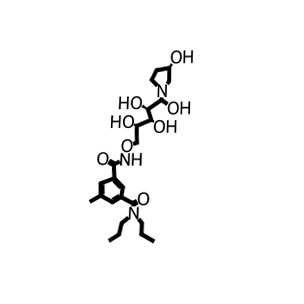 CCCN(CCC)C(=O)c1cc(C)cc(C(=O)NOC[C@H](O)[C@@H](O)[C@@H](O)C(O)N2CC[C@@H](O)C2)c1